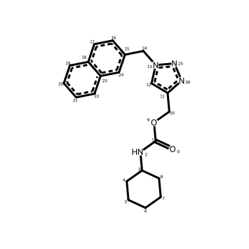 O=C(NC1CCCCC1)OCc1cn(Cc2ccc3ccccc3c2)nn1